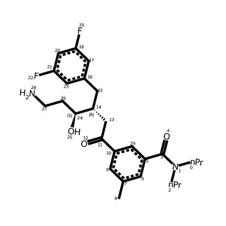 CCCN(CCC)C(=O)c1cc(C)cc(C(=O)C[C@@H](Cc2cc(F)cc(F)c2)[C@@H](O)CCN)c1